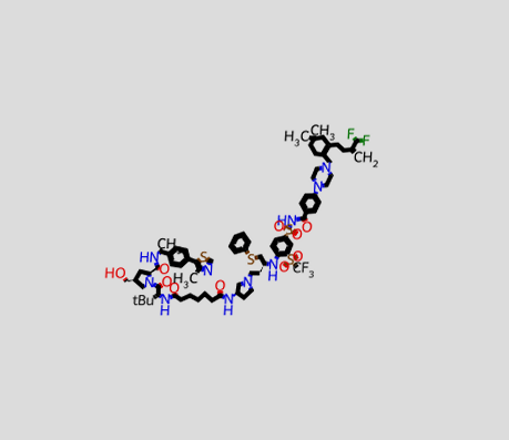 C=C(CCC1=C(CN2CCN(c3ccc(C(=O)NS(=O)(=O)c4ccc(N[C@H](CCN5CC[C@@H](NC(=O)CCCCCC(=O)NC(C(=O)N6C[C@H](CO)C[C@H]6C(=O)N[C@@H](C)c6ccc(-c7scnc7C)cc6)C(C)(C)C)C5)CSc5ccccc5)c(S(=O)(=O)C(F)(F)F)c4)cc3)CC2)CCC(C)(C)C1)C(F)F